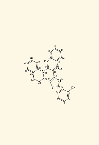 Fc1ccccc1.c1coc(-c2nc3ccccc3cc2N2CCCc3ccccc32)c1